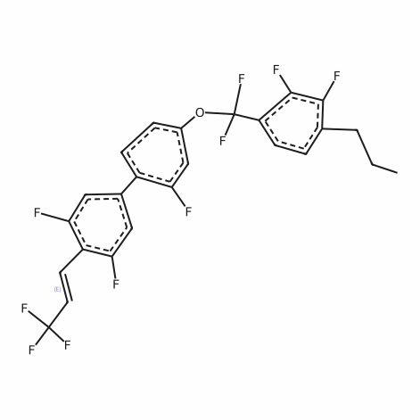 CCCc1ccc(C(F)(F)Oc2ccc(-c3cc(F)c(/C=C/C(F)(F)F)c(F)c3)c(F)c2)c(F)c1F